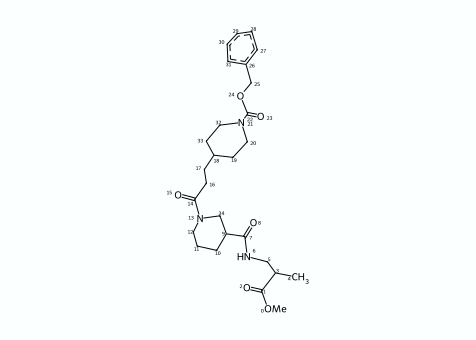 COC(=O)C(C)CNC(=O)C1CCCN(C(=O)CCC2CCN(C(=O)OCc3ccccc3)CC2)C1